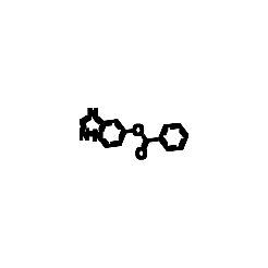 O=C(Oc1ccn2ncnc2c1)c1ccccc1